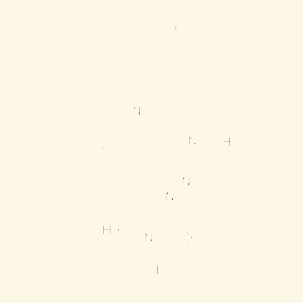 CN(C)C(=O)n1cc2c(n1)N(C)c1ccc(Cl)cc1N(c1ccccc1)C2=O